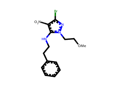 COCCn1nc(Br)c([N+](=O)[O-])c1NCCc1ccccc1